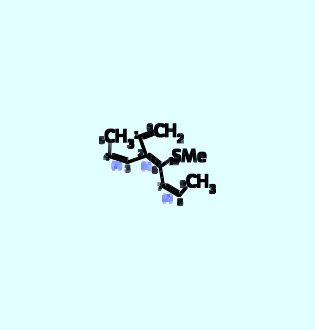 C=CC(/C=C\C)=C(/C=C\C)SC